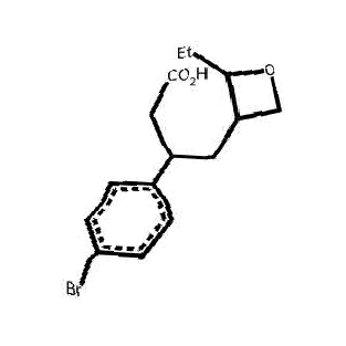 CCC1OCC1CC(CC(=O)O)c1ccc(Br)cc1